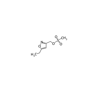 CCc1cc(COS(C)(=O)=O)no1